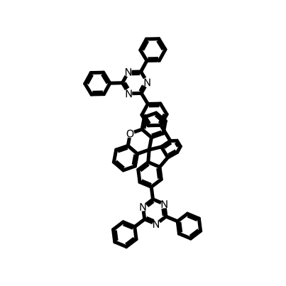 c1ccc(-c2nc(-c3ccccc3)nc(-c3ccc(-c4cccc5c4C4(c6ccccc6Oc6ccccc64)c4ccc(-c6nc(-c7ccccc7)nc(-c7ccccc7)n6)cc4-5)cc3)n2)cc1